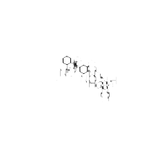 NC(=O)c1ccccc1S(=O)(=O)c1cc2c(c([N+](=O)[O-])c1)NC(CCNS(=O)(=O)N1CCOCC1)CO2